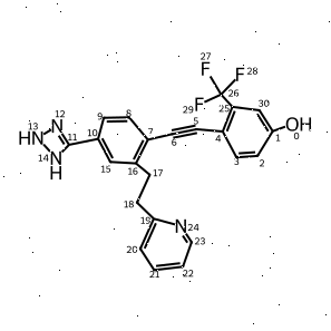 Oc1ccc(C#Cc2ccc(-c3n[nH][nH]3)cc2CCc2ccccn2)c(C(F)(F)F)c1